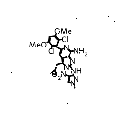 COc1cc(OC)c(Cl)c(-c2cc3c(CC4CC4)nc(Nc4nn(C)cc4[N+](=O)[O-])nc3c(N)n2)c1Cl